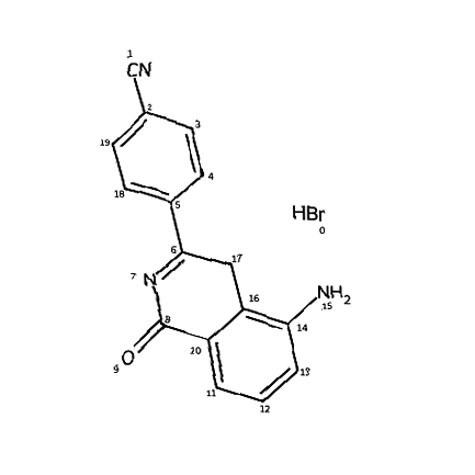 Br.N#Cc1ccc(C2=NC(=O)c3cccc(N)c3C2)cc1